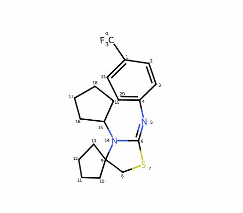 FC(F)(F)c1ccc(/N=C2/SCC3(CCCC3)N2C2CCCC2)cc1